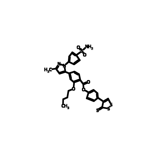 CCCCOc1cc(-c2cc(C)nn2-c2ccc(S(N)(=O)=O)cc2)ccc1C(=O)Oc1ccc(-c2cssc2=S)cc1